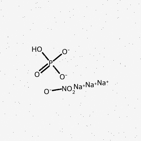 O=P([O-])([O-])O.O=[N+]([O-])[O-].[Na+].[Na+].[Na+]